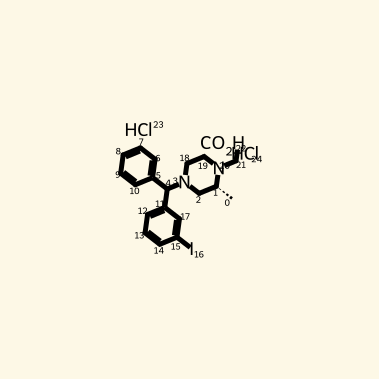 C[C@@H]1CN(C(c2ccccc2)c2cccc(I)c2)CCN1CC(=O)O.Cl.Cl